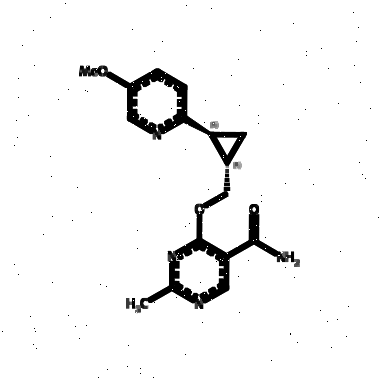 COc1ccc([C@H]2C[C@@H]2COc2nc(C)ncc2C(N)=O)nc1